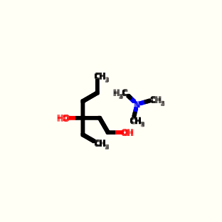 CCCC(O)(CC)CCO.CN(C)C